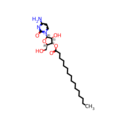 CCCCCCCCCCCCCCCC(=O)O[C@H]1[C@H](O)[C@H](n2ccc(N)nc2=O)O[C@@H]1CO